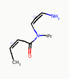 C/C=C\C(=O)N(/C=C\N)C(C)C